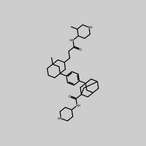 CC1CNCCC1NC(=O)CCC1CC2(C)CCCC(c3ccc(C45CC6CC(CC(C(=O)NC7CCNCC7)(C6)C4)C5)cc3)(C1)C2